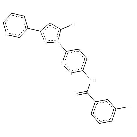 O=C(Nc1ccc(-n2nc(-c3cccnc3)cc2C(F)(F)F)nn1)c1cccc(O)c1